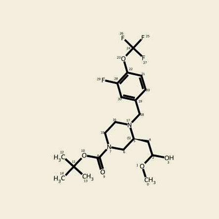 COC(O)C[C@H]1CN(C(=O)OC(C)(C)C)CCN1Cc1ccc(OC(F)(F)F)c(F)c1